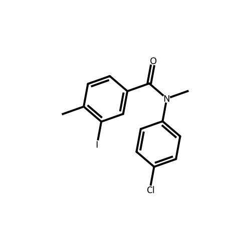 Cc1ccc(C(=O)N(C)c2ccc(Cl)cc2)cc1I